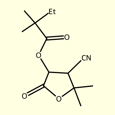 CCC(C)(C)C(=O)OC1C(=O)OC(C)(C)C1C#N